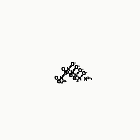 O=[N+]([O-])[O-].O=[N+]([O-])[O-].O=[N+]([O-])[O-].O=[N+]([O-])[O-].O=[N+]([O-])[O-].[Cu+2].[N+3]